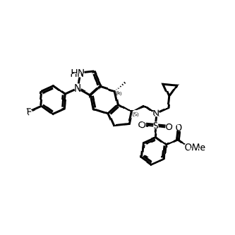 COC(=O)c1ccccc1S(=O)(=O)N(CC1CC1)C[C@H]1CCC2=C1[C@@H](C)C1=CNN(c3ccc(F)cc3)C1=C2